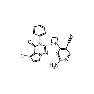 N#Cc1cnc(N)nc1N1CC[C@H]1c1nn2ccc(Cl)c2c(=O)n1-c1ccccc1